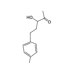 CC(=O)C(O)CCc1ccc(C)cc1